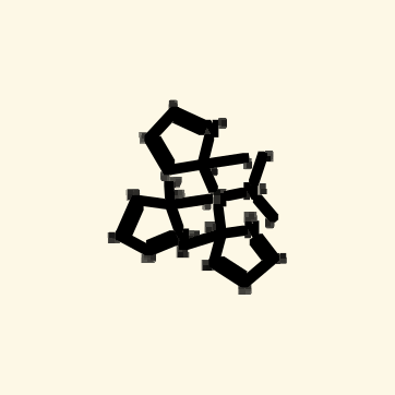 C[N](C)[Ti]([C]1(C)C=CC=N1)([C]1(C)C=CC=N1)[C]1(C)C=CC=N1